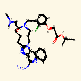 CCCCc1nc2c(N)nc3ccccc3c2n1CCCN(Cc1cccc(OCC(=O)OC(C)C)c1F)C(=O)CN(C)C